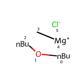 CCCCOCCCC.[CH3][Mg+].[Cl-]